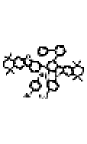 CC(C)(C)c1ccc(Nc2cc3c(cc2-c2cc(-c4ccccc4-c4ccccc4)c4c5cc6c(cc5n5c4c2Bc2cc(C(C)(C)C)ccc2-5)C(C)(C)CCC6(C)C)oc2cc4c(cc23)C(C)(C)CCC4(C)C)cc1